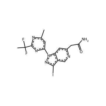 Cc1cc(-n2nc(I)c3cnc(CC(N)=O)cc32)nc(C(C)(F)F)n1